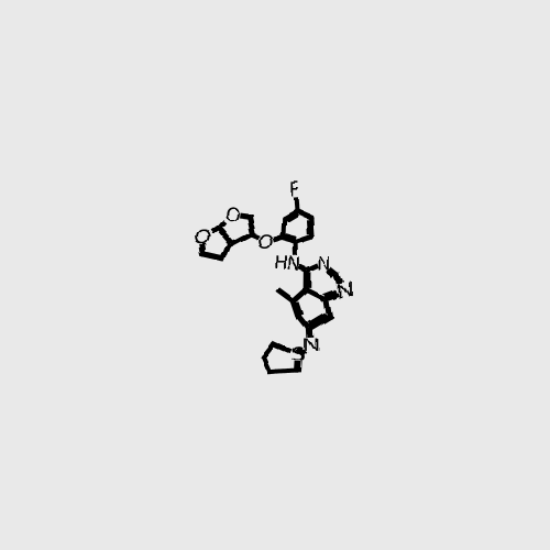 Cc1cc(N=S2CCCC2)cc2ncnc(Nc3ccc(F)cc3OC3COC4OCCC34)c12